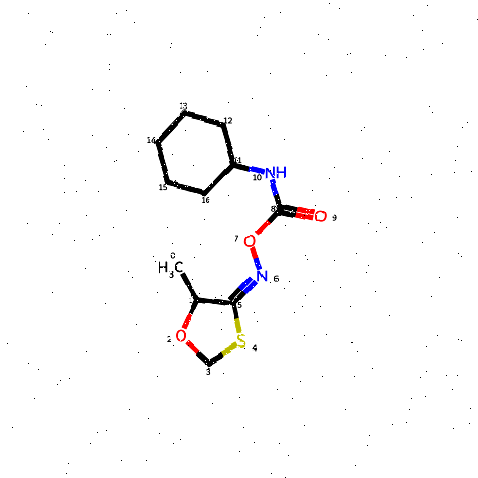 CC1OCSC1=NOC(=O)NC1CCCCC1